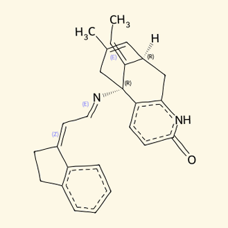 C/C=C1\[C@H]2C=C(C)C[C@]1(/N=C/C=C1/CCc3ccccc31)c1ccc(=O)[nH]c1C2